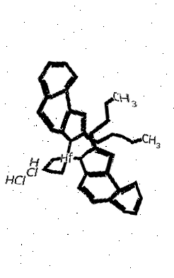 CCCCC1=Cc2c(ccc3ccccc23)[CH]1[Hf]1([CH]2C(CCCC)=Cc3c2ccc2ccccc32)[CH2]C[CH2]1.Cl.Cl